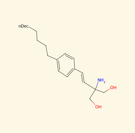 CCCCCCCCCCCCCCc1ccc(C=CC(N)(CO)CO)cc1